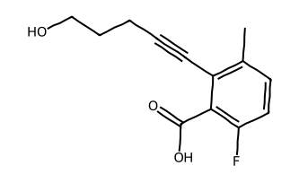 Cc1ccc(F)c(C(=O)O)c1C#CCCCO